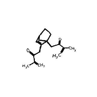 C=C(C)C(=O)CC1=CC2CCC1(CC(=O)C(=C)C)C2